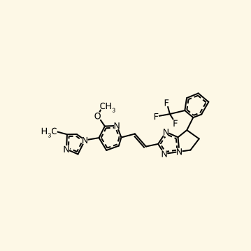 COc1nc(C=Cc2nc3n(n2)CCC3c2ccccc2C(F)(F)F)ccc1-n1cnc(C)c1